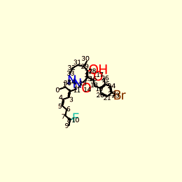 CC/C(=C\C=C/CCC(C)F)CN1C(=O)/C(C(=O)Cc2ccc(Br)cc2C)=C(/O)C(C)CCCN1C